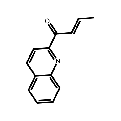 CC=CC(=O)c1ccc2ccccc2n1